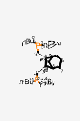 CCCCP(CCCC)C[C@@H]1C2CCC(C2)[C@@H]1CP(CCCC)CCCC